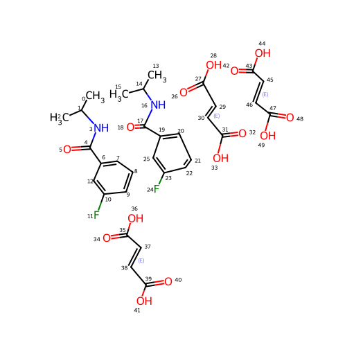 CC(C)NC(=O)c1cccc(F)c1.CC(C)NC(=O)c1cccc(F)c1.O=C(O)/C=C/C(=O)O.O=C(O)/C=C/C(=O)O.O=C(O)/C=C/C(=O)O